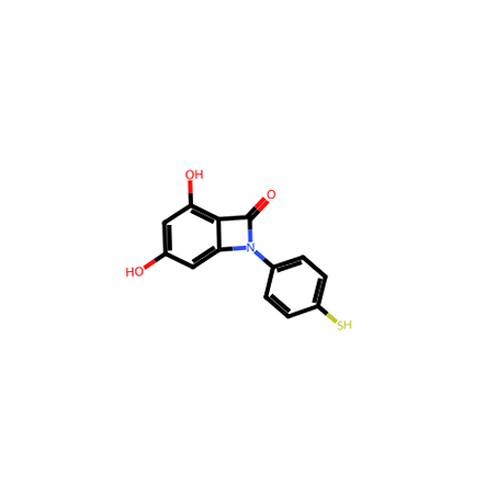 O=C1c2c(O)cc(O)cc2N1c1ccc(S)cc1